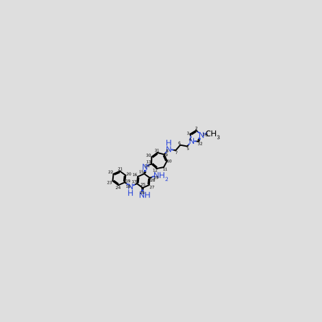 C[n+]1ccn(CCCNC2=CCC=C(/N=C3/C=C(Nc4ccccc4)C(=N)C=C3N)C=C2)c1